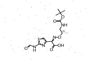 C[C@@H](CNC(=O)OC(C)(C)C)ON=C(C(=O)O)c1csc(NC=O)n1